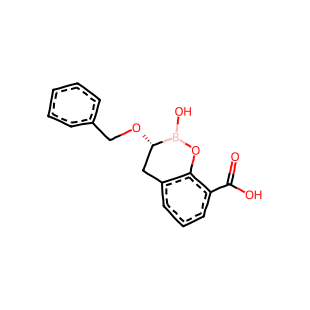 O=C(O)c1cccc2c1OB(O)[C@@H](OCc1ccccc1)C2